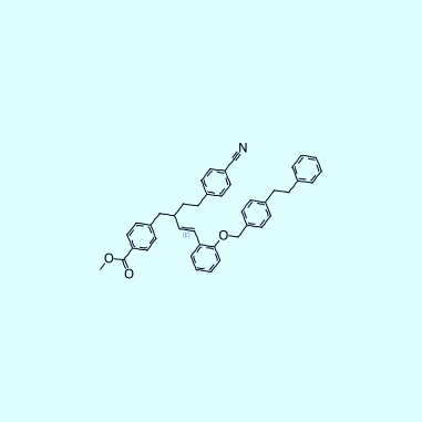 COC(=O)c1ccc(CC(/C=C/c2ccccc2OCc2ccc(CCc3ccccc3)cc2)CCc2ccc(C#N)cc2)cc1